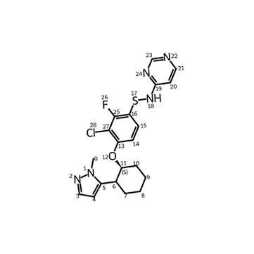 Cn1nccc1C1CCCC[C@@H]1Oc1ccc(SNc2ccncn2)c(F)c1Cl